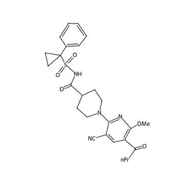 CCCC(=O)c1cc(C#N)c(N2CCC(C(=O)NS(=O)(=O)C3(c4ccccc4)CC3)CC2)nc1OC